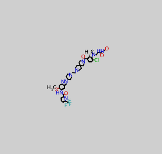 COc1cc2nn(C3CCN(CCN4CCC5(CC4)CCN(C(=O)c4ccc(Cl)c(N(C)CCC(=O)NC=O)c4)CC5)CC3)cc2cc1NC(=O)c1cccc(C(F)(F)F)n1